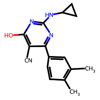 Cc1ccc(-c2nc(NC3CC3)nc(O)c2C#N)cc1C